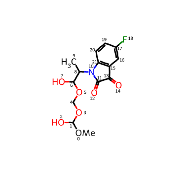 COC(O)OCOC(O)C(C)N1C(=O)C(=O)c2cc(F)ccc21